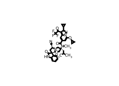 CC(C)C[C@](C=O)(CN1C[C@]2(C[C@H]1C#N)C(=O)Nc1ccccc12)N(C)C(=O)c1cc(OC2CC2)n2nc(C3CC3)c(C(=O)C(F)(F)F)c2c1